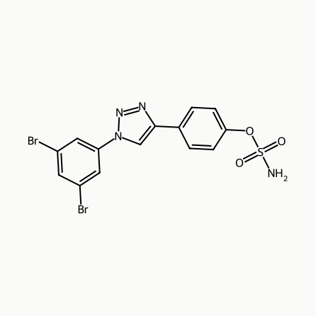 NS(=O)(=O)Oc1ccc(-c2cn(-c3cc(Br)cc(Br)c3)nn2)cc1